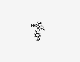 C=CCC1(COCc2ccc(OC)cc2)CC=CC1O